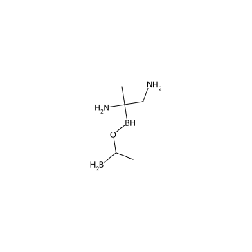 BC(C)OBC(C)(N)CN